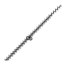 CCCCCCCCCCCCCCCCCCCCCCCCCCCCCCCC(=O)OCCCCCCCCCCCCCCCCCCCCCC